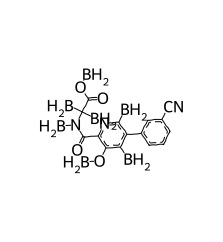 BOC(=O)C(B)(B)N(B)C(=O)c1nc(B)c(-c2cccc(C#N)c2)c(B)c1OB